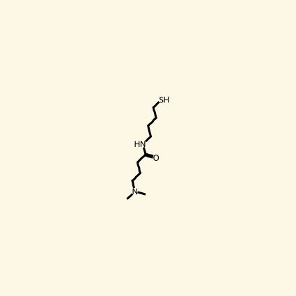 CN(C)CCCC(=O)NCCCCS